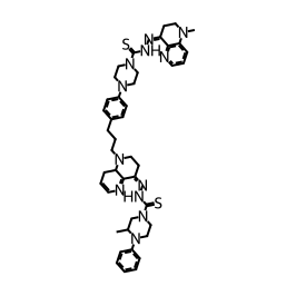 CC1CN(C(=S)N/N=C2/CCN(CCCc3ccc(N4CCN(C(=S)N/N=C5/CCN(C)c6cccnc65)CC4)cc3)C3CC=CN=C23)CCN1c1ccccc1